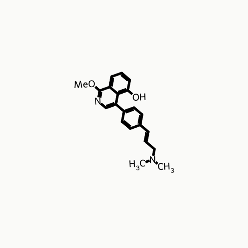 COc1ncc(-c2ccc(/C=C/CN(C)C)cc2)c2c(O)cccc12